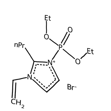 C=Cn1cc[n+](P(=O)(OCC)OCC)c1CCC.[Br-]